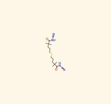 CC(C)(CCCSCCCC(C)(C)C(=O)NC#N)C(=O)NC#N